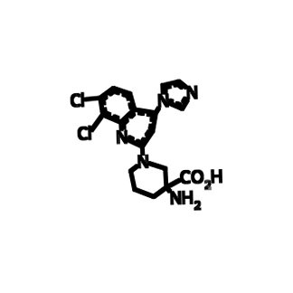 NC1(C(=O)O)CCCN(c2cc(-n3ccnc3)c3ccc(Cl)c(Cl)c3n2)C1